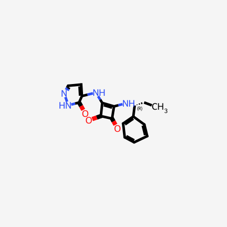 CC[C@@H](Nc1c(Nc2ccn[nH]c2=O)c(=O)c1=O)c1ccccc1